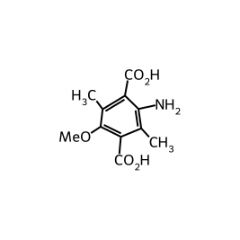 COc1c(C)c(C(=O)O)c(N)c(C)c1C(=O)O